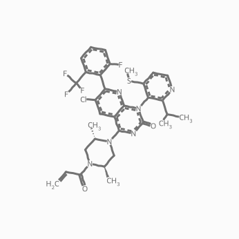 C=CC(=O)N1C[C@H](C)N(c2nc(=O)n(-c3c(SC)ccnc3C(C)C)c3nc(-c4c(F)cccc4C(F)(F)F)c(Cl)cc23)C[C@H]1C